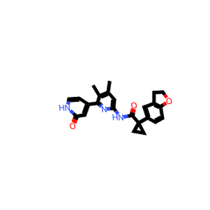 Cc1cc(NC(=O)C2(c3ccc4c(c3)CCO4)CC2)nc(-c2cc[nH]c(=O)c2)c1C